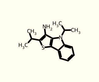 CC(C)c1sc2c3ccccc3n(C(C)C)c2c1N